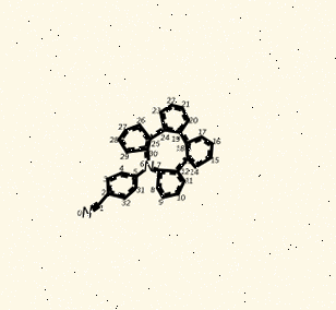 N#Cc1ccc(-n2c3ccccc3c3ccccc3c3ccccc3c3ccccc32)cc1